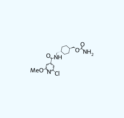 COc1cc(C(=O)NC[C@H]2CC[C@H](COC(N)=O)CC2)cc(Cl)n1